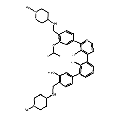 COc1nc(-c2cccc(-c3ccnc(-c4ccc(CNC5CCN(C(C)=O)CC5)c(OC(F)F)c4)c3Cl)c2Cl)ccc1CNC1CCN(C(C)=O)CC1